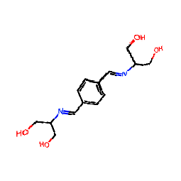 OCC(CO)/N=C/c1ccc(/C=N/C(CO)CO)cc1